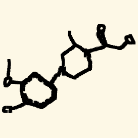 COc1cc(N2CCN(C(=O)CCl)C(C)C2)ccc1Cl